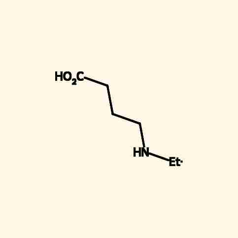 C[CH]NCCCC(=O)O